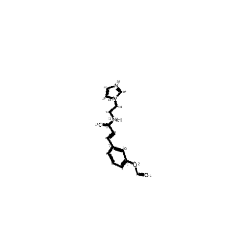 O=COc1cccc(/C=C/C(=O)NCCn2ccnc2)c1